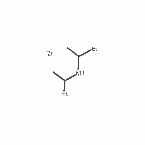 CCC(C)NC(C)CC.[Zr]